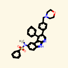 CN(c1ccc2[nH]c3ncc(-c4ccc(CN5CCOCC5)cc4)c(-c4ccccc4)c3c2c1)S(=O)(=O)c1ccccc1